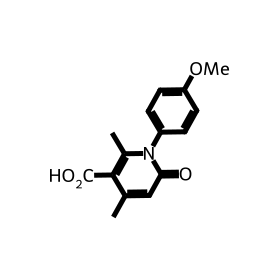 COc1ccc(-n2c(C)c(C(=O)O)c(C)cc2=O)cc1